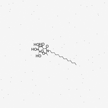 CCCCCCCCCCCCCCN(C(C)=O)C(=O)C1O[C@H](CO)[C@@H](O)[C@H](O)[C@H]1O